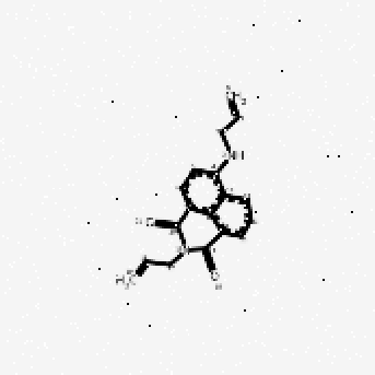 C=CCNc1ccc2c3c(cccc13)C(=O)N(CC=C)C2=O